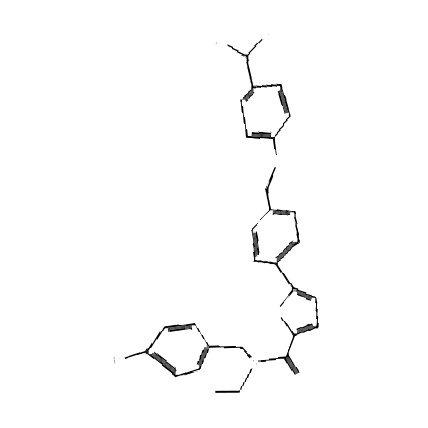 CCCC(CCC)c1ccc(OCc2ccc(-c3ccc(C(=O)N(CC(=O)O)Cc4ccc(C(C)C)cc4)s3)cc2)cc1